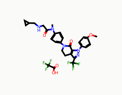 COc1ccc(-n2nc(C(F)(F)F)c3c2C(=O)N(c2ccc(N(C)C(=O)CNCC4CC4)cc2)CC3)cc1.O=C(O)C(F)(F)F